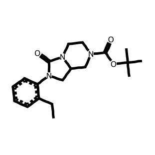 CCc1ccccc1N1CC2CN(C(=O)OC(C)(C)C)CCN2C1=O